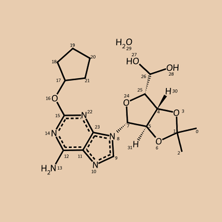 CC1(C)O[C@@H]2[C@@H](O1)[C@H](n1cnc3c(N)nc(OC4CCCC4)nc31)O[C@@H]2C(O)O.O